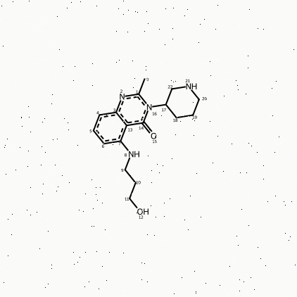 Cc1nc2cccc(NCCCO)c2c(=O)n1C1CCCNC1